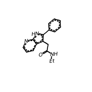 CCNC(=O)Cc1c(-c2ccccc2)[nH]c2ncccc12